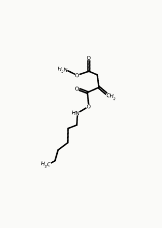 C=C(CC(=O)ON)C(=O)ONCCCCCC